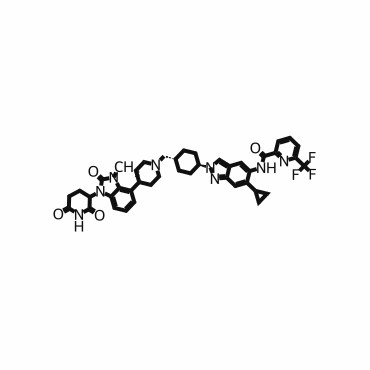 Cn1c(=O)n(C2CCC(=O)NC2=O)c2cccc(C3CCN(C[C@H]4CC[C@H](n5cc6cc(NC(=O)c7cccc(C(F)(F)F)n7)c(C7CC7)cc6n5)CC4)CC3)c21